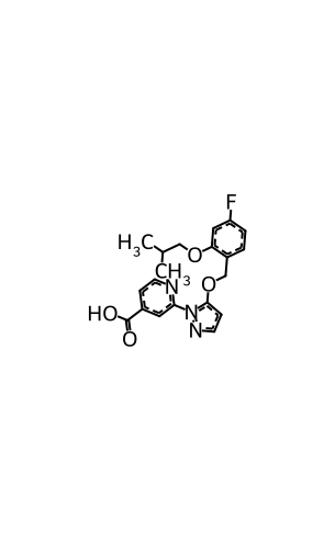 CC(C)COc1cc(F)ccc1COc1ccnn1-c1cc(C(=O)O)ccn1